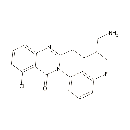 CC(CN)CCc1nc2cccc(Cl)c2c(=O)n1-c1cccc(F)c1